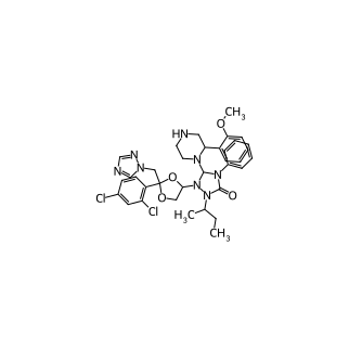 CCC(C)N1C(=O)N(c2ccccc2)C(N2CCNCC2c2ccccc2OC)N1C1COC(Cn2cncn2)(c2ccc(Cl)cc2Cl)O1